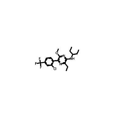 CCc1nc(-c2ccc(C(F)(F)F)cc2Cl)c(OC)nc1NC(CC)CC